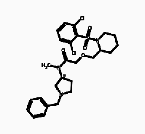 CN(C(=O)COCC1CCCCN1S(=O)(=O)c1c(Cl)cccc1Cl)[C@H]1CCN(Cc2ccccc2)C1